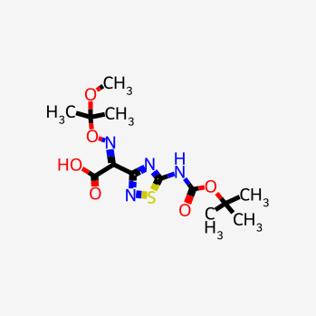 COC(C)(C)O/N=C(\C(=O)O)c1nsc(NC(=O)OC(C)(C)C)n1